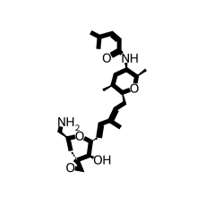 CC(/C=C/[C@H]1O[C@H](CN)C[C@@]2(CO2)[C@@H]1O)=C\C[C@@H]1O[C@H](C)[C@H](NC(=O)/C=C\C(C)C)C[C@@H]1C